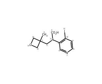 CC1(CN(C(=O)O)c2cnccc2I)COC1